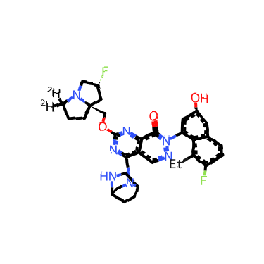 [2H]C1([2H])CC[C@@]2(COc3nc(N4CC5CCC4CN5)c4cnn(-c5cc(O)cc6ccc(F)c(CC)c56)c(=O)c4n3)C[C@@H](F)CN12